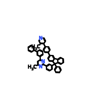 Cc1cc(-c2cccc(-c3ccccc3)c2)nc(-c2cccc(C3(c4ccccc4)c4ccccc4-c4cc(-c5ccc(-c6ccncc6C)cc5)ccc43)c2)n1